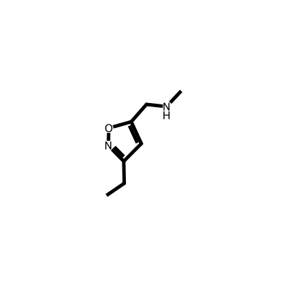 CCc1cc(CNC)on1